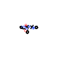 Cc1nn(-c2ccccc2)c(C)c1CN1CCC2(CC1)C(=O)NC(Cc1ccccc1)C(=O)N2Cc1ccccc1